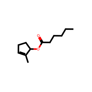 CCCCCC(=O)OC1CCC=C1C